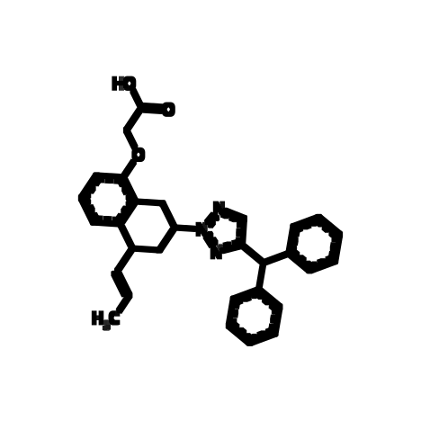 CC=CC1CC(n2ncc(C(c3ccccc3)c3ccccc3)n2)Cc2c(OCC(=O)O)cccc21